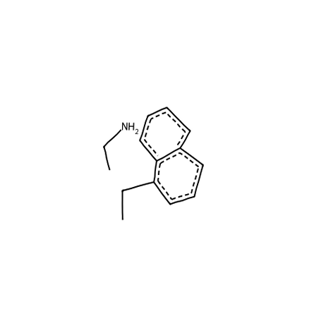 CCN.CCc1cccc2ccccc12